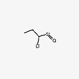 CCC(Cl)[S+]=O